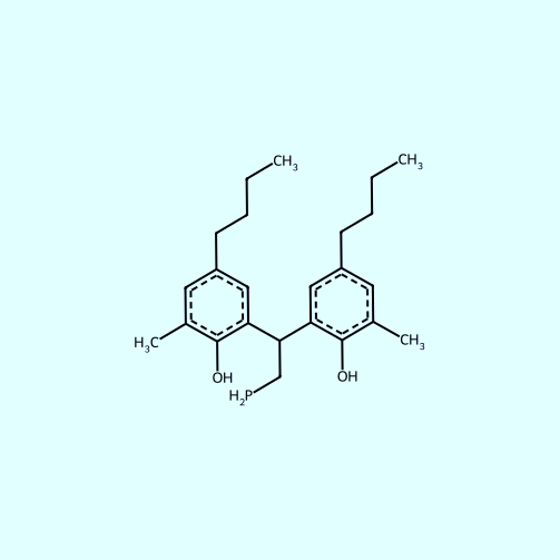 CCCCc1cc(C)c(O)c(C(CP)c2cc(CCCC)cc(C)c2O)c1